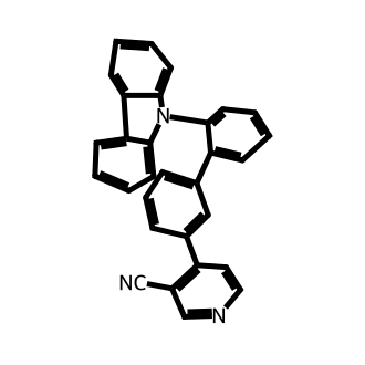 N#Cc1cnccc1-c1cccc(-c2ccccc2-n2c3ccccc3c3ccccc32)c1